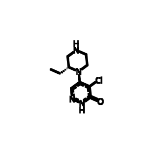 CC[C@@H]1CNCCN1c1cn[nH]c(=O)c1Cl